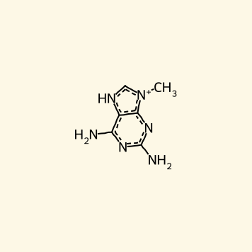 C[n+]1c[nH]c2c(N)nc(N)nc21